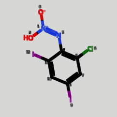 [O-]/[N+](O)=N/c1c(Cl)cc(I)cc1I